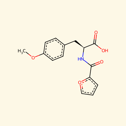 COc1ccc(C[C@H](NC(=O)c2ccco2)C(=O)O)cc1